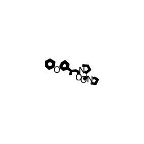 CC(CC(=O)N1CCC[C@@H]1C(=O)N1CCCC1)c1cccc(Oc2ccccc2)c1